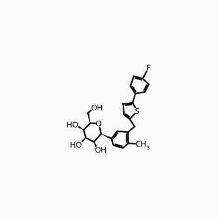 Cc1ccc([C@@H]2O[C@H](CO)[C@H](O)[C@H](O)[C@@H]2O)cc1Cc1ccc(-c2ccc(F)cc2)s1